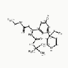 CCOC(=O)CC(NC(=O)OC(C)(C)C)c1cc(Cl)cc(C2(CF)CCOCC2)c1